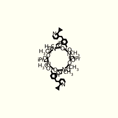 CC(C)C[C@H]1C(=O)O[C@H](Cc2ccc(Cc3cccnc3C3CC3)cc2)C(=O)N(C)[C@@H](CC(C)C)C(=O)O[C@H](C)C(=O)N(C)[C@@H](CC(C)C)C(=O)O[C@H](Cc2ccc(Cc3cccnc3C3CC3)cc2)C(=O)N(C)[C@@H](CC(C)C)C(=O)O[C@H](C)C(=O)N1C